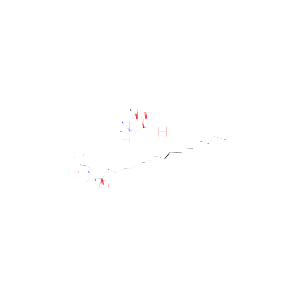 CCCCCCCCC=CCCCCCCCC(=O)N(C)CC(=O)[O-].CNCC(=O)O.[Na+]